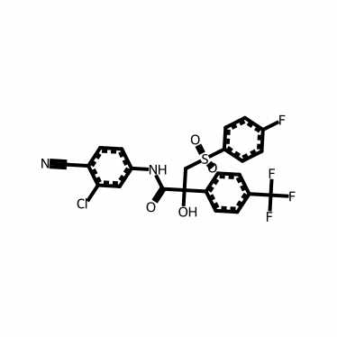 N#Cc1ccc(NC(=O)C(O)(CS(=O)(=O)c2ccc(F)cc2)c2ccc(C(F)(F)F)cc2)cc1Cl